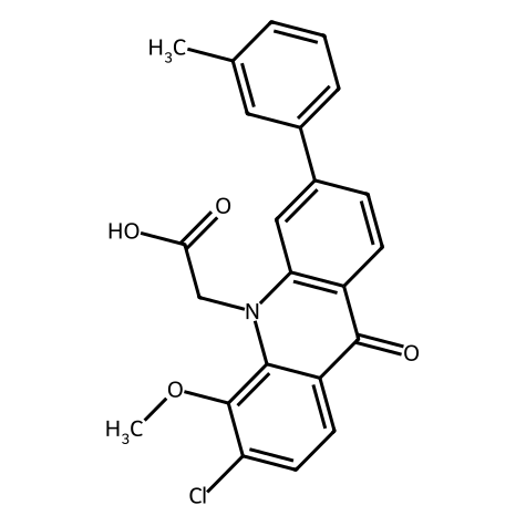 COc1c(Cl)ccc2c(=O)c3ccc(-c4cccc(C)c4)cc3n(CC(=O)O)c12